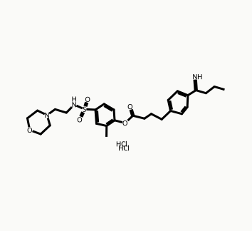 CCCC(=N)c1ccc(CCCC(=O)Oc2ccc(S(=O)(=O)NCCN3CCOCC3)cc2C)cc1.Cl.Cl